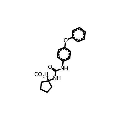 O=C(Nc1ccc(Oc2ccccc2)cc1)NC1(C(=O)O)CCCC1